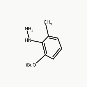 Cc1cccc(OCC(C)C)c1NN